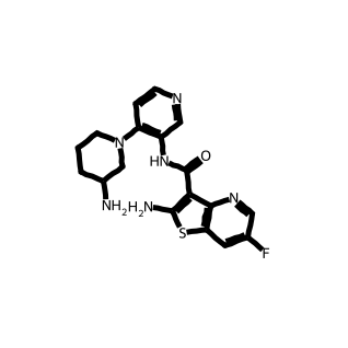 Nc1sc2cc(F)cnc2c1C(=O)Nc1cnccc1N1CCCC(N)C1